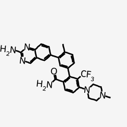 Cc1ccc(-c2c(C(N)=O)ccc(N3CCN(C)CC3)c2C(F)(F)F)cc1-c1ccc2nc(N)ncc2c1